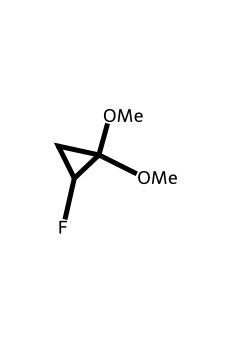 COC1(OC)CC1F